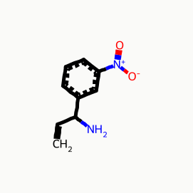 C=CC(N)c1cccc([N+](=O)[O-])c1